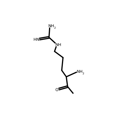 CC(=O)C(N)CCCNC(=N)N